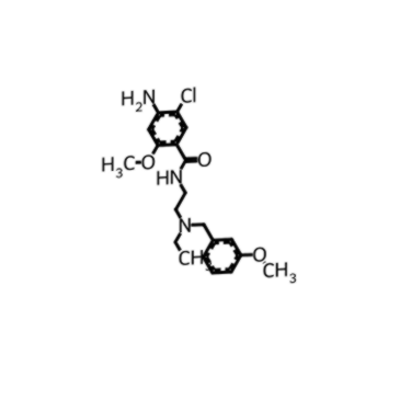 CCN(CCNC(=O)c1cc(Cl)c(N)cc1OC)Cc1cccc(OC)c1